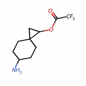 NC1CCC2(CC1)CC2OC(=O)C(F)(F)F